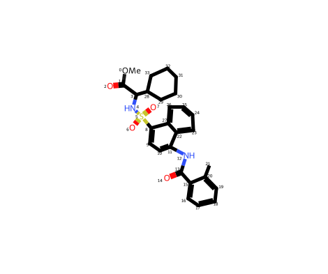 COC(=O)C(NS(=O)(=O)c1ccc(NC(=O)c2ccccc2C)c2ccccc12)C1CCCCC1